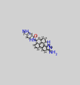 NC[C@H]1CC[C@H](C(=O)NC(Cc2ccccc2)c2cccc(-c3ccc4c(N)n[nH]c4c3)c2)CC1